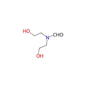 O=[C]N(CCO)CCO